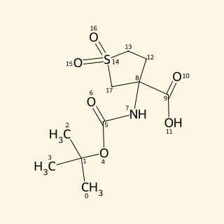 CC(C)(C)OC(=O)NC1(C(=O)O)CCS(=O)(=O)C1